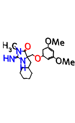 COC1=CC(OCC2(CC3CCCCC3)NC(=N)N(C)C2=O)CC(OC)=C1